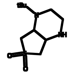 CC(C)(C)N1CCNC2CS(=O)(=O)CC21